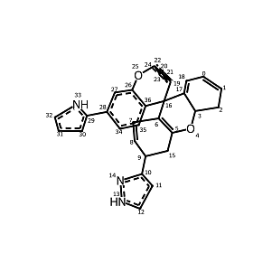 C1=CCC2OC3=C(C=CC(c4cc[nH]n4)C3)C3(C2=C1)c1ccccc1Oc1cc(-c2ccc[nH]2)ccc13